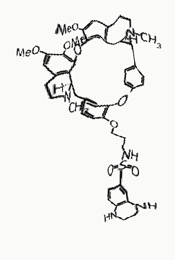 COc1cc2c3cc1Oc1c(OC)c(OC)cc4c1[C@@H](Cc1ccc(OCCCNS(=O)(=O)c5ccc6c(c5)NCCN6)c(c1)Oc1ccc(cc1)C[C@@H]3N(C)CC2)N(C)CC4